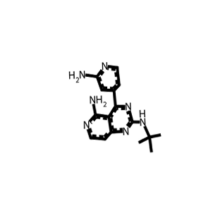 CC(C)(C)Nc1nc(-c2ccnc(N)c2)c2c(N)nccc2n1